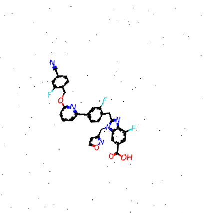 N#Cc1ccc(COc2cccc(-c3ccc(Cc4nc5c(F)cc(C(=O)O)cc5n4Cc4ccon4)c(F)c3)n2)c(F)c1